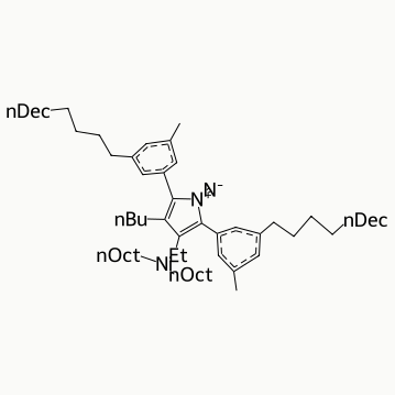 CCCCCCCCCCCCCCc1cc(C)cc(C2=C(CC)C(CCCC)=C(c3cc(C)cc(CCCCCCCCCCCCCC)c3)[N+]2=[N-])c1.CCCCCCC[CH2][Ni][CH2]CCCCCCC